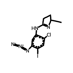 CC1CCC(Nc2cc(N=[N+]=[N-])c(I)cc2Cl)=N1